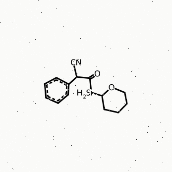 N#CC(C(=O)[SiH2]C1CCCCO1)c1ccccc1